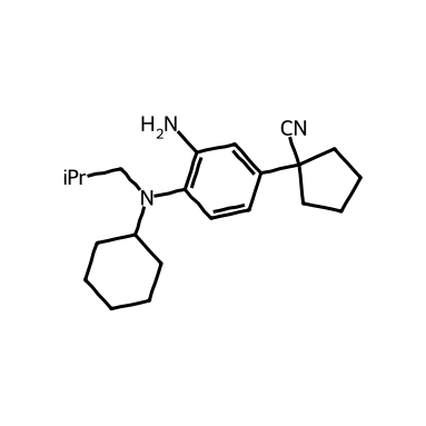 CC(C)CN(c1ccc(C2(C#N)CCCC2)cc1N)C1CCCCC1